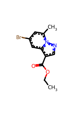 CCOC(=O)c1cnn2c(C)cc(Br)cc12